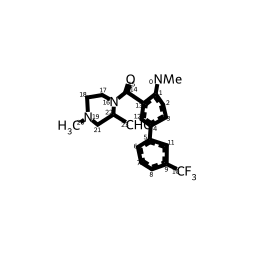 CNc1ccc(-c2cccc(C(F)(F)F)c2)cc1C(=O)N1CCN(C)CC1C=O